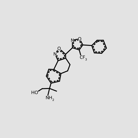 CC(N)(CO)c1ccc2c(c1)CCc1c-2noc1-c1noc(-c2ccccc2)c1C(F)(F)F